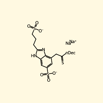 CCCCCCCCCCC(=S)Cc1cc(S(=O)(=O)[O-])cc2[nH]c(CCCS(=O)(=O)[O-])nc12.[Na+].[Na+]